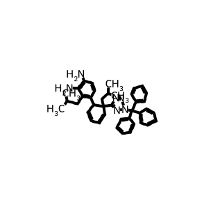 CC(C)Cc1c(C2C=CC=CC2(CC(C)C)c2nnn(C(c3ccccc3)(c3ccccc3)c3ccccc3)n2)ccc(N)c1N